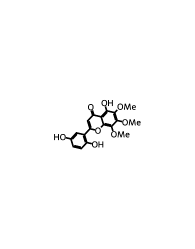 COc1c(OC)c(O)c2c(=O)cc(-c3cc(O)ccc3O)oc2c1OC